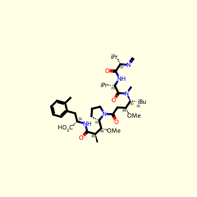 C=N[C@H](C(=O)N[C@H](C(=O)N(C)[C@@H]([C@@H](C)CC)[C@@H](CC(=O)N1CCC[C@H]1[C@H](OC)[C@@H](C)C(=O)N[C@@H](Cc1ccccc1C)C(=O)O)OC)C(C)C)C(C)C